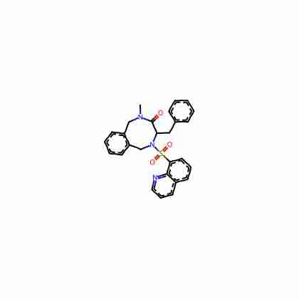 CN1Cc2ccccc2CN(S(=O)(=O)c2cccc3cccnc23)C(Cc2ccccc2)C1=O